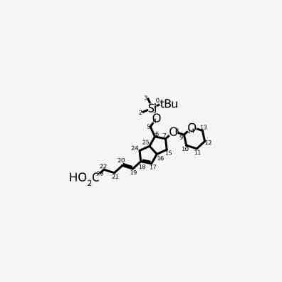 CC(C)(C)[Si](C)(C)OCC1C(OC2CCCCO2)CC2C=C(C=CCCC(=O)O)CC21